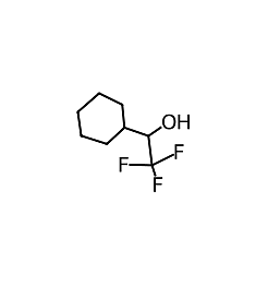 OC(C1CCCCC1)C(F)(F)F